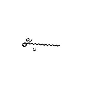 CCCCCCCCC=CCCCCCCCCC(c1ccccc1)[N+](CC)(CC)CC.[Cl-]